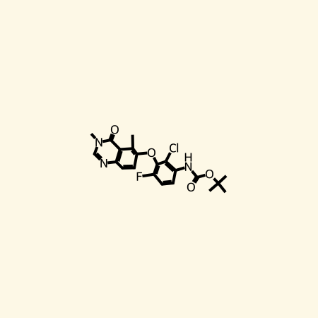 Cc1c(Oc2c(F)ccc(NC(=O)OC(C)(C)C)c2Cl)ccc2ncn(C)c(=O)c12